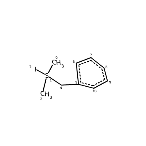 CS(C)(I)Cc1ccccc1